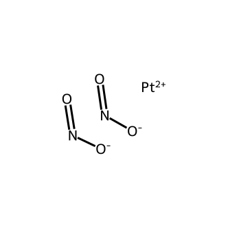 O=N[O-].O=N[O-].[Pt+2]